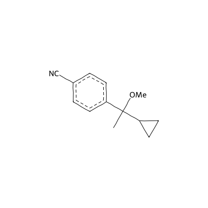 COC(C)(c1ccc(C#N)cc1)C1CC1